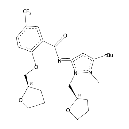 Cn1c(C(C)(C)C)cc(=NC(=O)c2cc(C(F)(F)F)ccc2OC[C@H]2CCCO2)n1C[C@H]1CCCO1